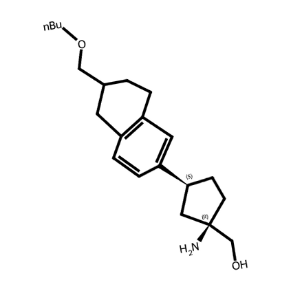 CCCCOCC1CCc2cc([C@H]3CC[C@](N)(CO)C3)ccc2C1